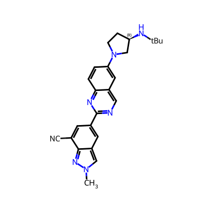 Cn1cc2cc(-c3ncc4cc(N5CC[C@@H](NC(C)(C)C)C5)ccc4n3)cc(C#N)c2n1